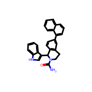 NC(=O)N1CCc2cc(-c3cccc4ccccc34)ccc2C1c1c[nH]c2ccccc12